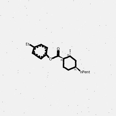 CCCCC[C@H]1CC[C@@H](C(=O)Oc2ccc(CC)cc2)[C@H](C)C1